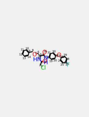 O=C(CCl)N[C@@H](COCc1ccccc1)C(=O)Nc1ccc(Oc2ccc(F)cc2)cc1